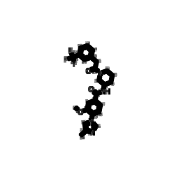 COc1cc(C(=O)NC2CCCN(C(=O)Cc3cccc(C(F)(F)F)c3)C2)ccc1-n1cnc(C)c1